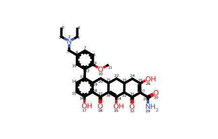 CCN(CC)Cc1ccc(OC)c(-c2ccc(O)c3c2CC2CC4CC(O)=C(C(N)=O)C(=O)C4C(O)=C2C3=O)c1